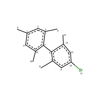 Cc1cc(C)c(-c2c(C)cc(Br)cc2C)c(C)c1